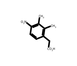 Cc1c(CC(=O)O)ccc([N+](=O)[O-])c1C